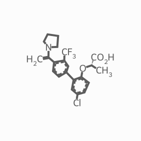 C=C(c1ccc(-c2cc(Cl)ccc2O[C@@H](C)C(=O)O)cc1C(F)(F)F)N1CCCC1